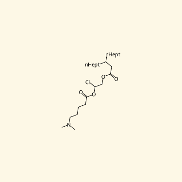 CCCCCCCC(CCCCCCC)CC(=O)OCC(Cl)OC(=O)CCCCN(C)C